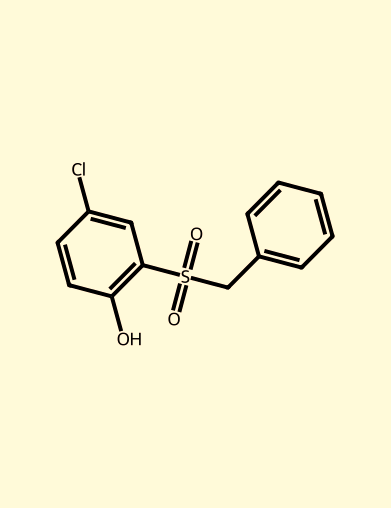 O=S(=O)(Cc1ccccc1)c1cc(Cl)ccc1O